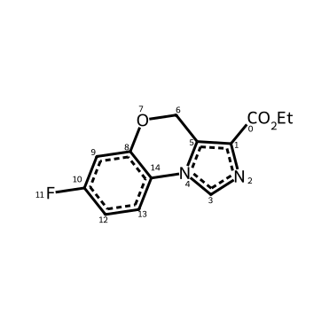 CCOC(=O)c1ncn2c1COc1cc(F)ccc1-2